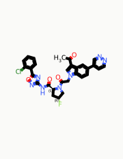 CC(=O)c1cn(CC(=O)N2C[C@H](F)C[C@H]2C(=O)Nc2noc(-c3ccccc3Cl)n2)c2ccc(-c3ccnnc3)cc12